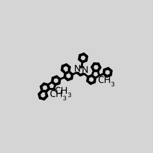 CC1(C)c2cc(-c3ccc(-c4cc(-c5cccc6c5-c5ccccc5C6(C)c5ccccc5)nc(-c5ccccc5)n4)c4ccccc34)ccc2-c2ccc3ccccc3c21